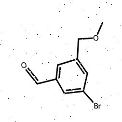 COCc1cc(Br)cc(C=O)c1